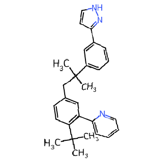 CC(C)(C)c1ccc(CC(C)(C)c2cccc(-c3cc[nH]n3)c2)cc1-c1ccccn1